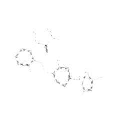 CCc1cccc(N(N)C(=O)N(C)N)c1COc1ccc(-n2nc(C)cc2C)cc1C